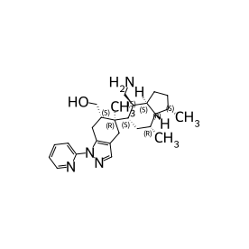 C[C@@H]1C[C@H]([C@@]2(C)Cc3cnn(-c4ccccn4)c3C[C@@H]2CO)[C@@H](CN)[C@H]2CC[C@H](C)[C@@H]21